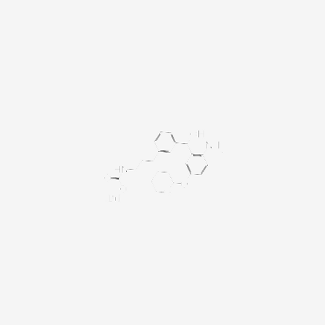 CC(C)(C)OC(=O)NCCCc1cccc(C(O)c2cc(OC3CCCCO3)ccc2N)c1